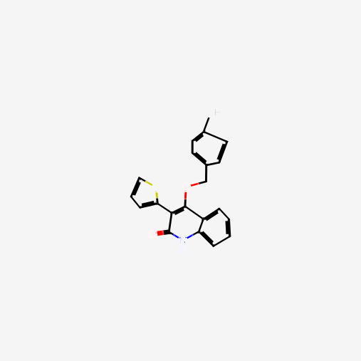 Cc1ccc(COc2c(-c3cccs3)c(=O)[nH]c3ccccc23)cc1